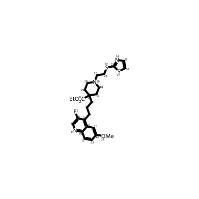 CCOC(=O)C1(CCCc2c(F)cnc3ccc(OC)cc23)CCN(CCSc2nccs2)CC1